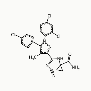 Cc1c(C(=NC#N)NC2(C(N)=O)CC2)nn(-c2ccc(Cl)cc2Cl)c1-c1ccc(Cl)cc1